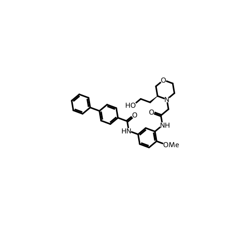 COc1ccc(NC(=O)c2ccc(-c3ccccc3)cc2)cc1NC(=O)CN1CCOC[C@@H]1CCO